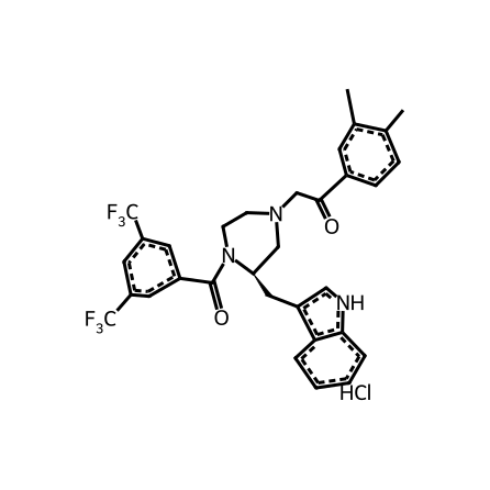 Cc1ccc(C(=O)CN2CCN(C(=O)c3cc(C(F)(F)F)cc(C(F)(F)F)c3)[C@H](Cc3c[nH]c4ccccc34)C2)cc1C.Cl